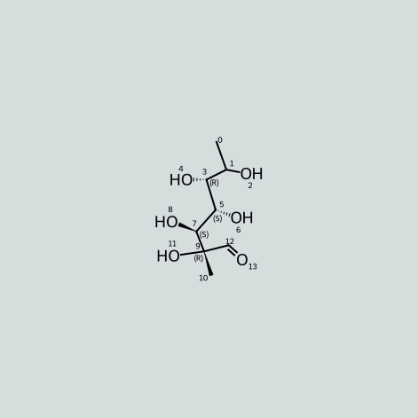 CC(O)[C@@H](O)[C@H](O)[C@H](O)[C@@](C)(O)C=O